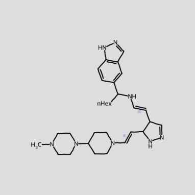 CCCCCCC(N/C=C/C1C=NNC1/C=C/N1CCC(N2CCN(C)CC2)CC1)c1ccc2[nH]ncc2c1